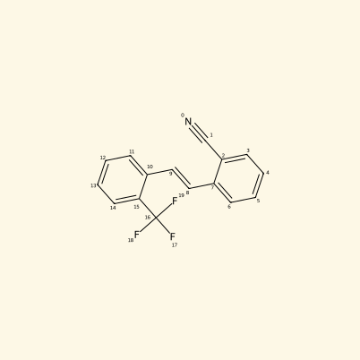 N#Cc1ccccc1/C=C/c1ccccc1C(F)(F)F